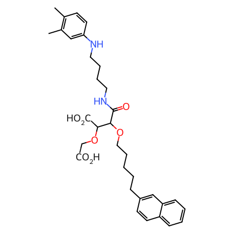 Cc1ccc(NCCCCNC(=O)C(OCCCCCc2ccc3ccccc3c2)C(OCC(=O)O)C(=O)O)cc1C